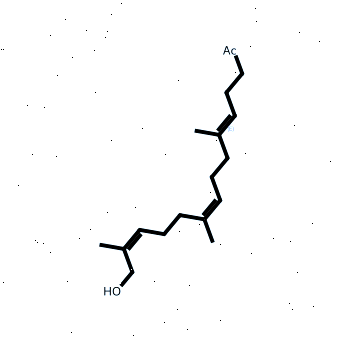 CC(=O)CC/C=C(\C)CCC=C(C)CCC=C(C)CO